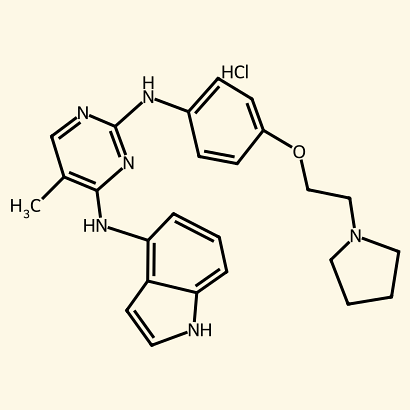 Cc1cnc(Nc2ccc(OCCN3CCCC3)cc2)nc1Nc1cccc2[nH]ccc12.Cl